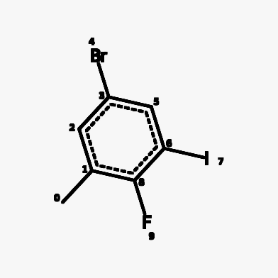 Cc1cc(Br)cc(I)c1F